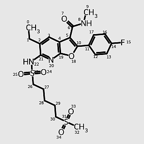 CCc1cc2c(C(=O)NC)c(-c3ccc(F)cc3)oc2nc1NS(=O)(=O)CCCCCS(C)(=O)=O